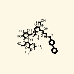 CO[C@@H]1OC(CO)[C@@H](O[C@@H]2OC(CO[C@]3(C(=O)O)C[C@@H](O)[C@@H](NC(=O)O)C([C@H](O)[C@H](O)CNC(=O)c4ccc(-c5ccccc5)cc4)O3)[C@H](O)[C@H](O)C2O)[C@H](O)C1NC(C)=O